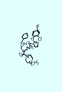 CN1CCN(C(=O)[C@@H](COCc2ccccc2)NC(=O)c2cccnc2Oc2ccc(F)cc2Cl)CC1